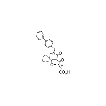 O=C(O)CNC(=O)C1=C(O)C2(CCCCC2)CN(Cc2ccc(-c3ccccc3)cc2)C1=O